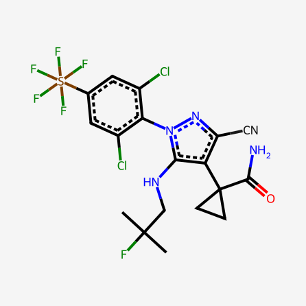 CC(C)(F)CNc1c(C2(C(N)=O)CC2)c(C#N)nn1-c1c(Cl)cc(S(F)(F)(F)(F)F)cc1Cl